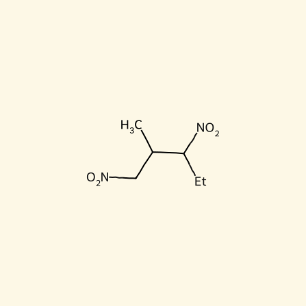 CCC(C(C)C[N+](=O)[O-])[N+](=O)[O-]